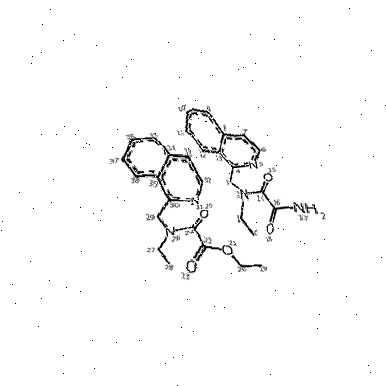 CCN(Cc1nccc2ccccc12)C(=O)C(N)=O.CCOC(=O)C(=O)N(CC)Cc1nccc2ccccc12